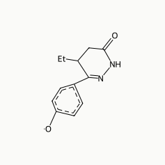 CCC1CC(=O)NN=C1c1ccc([O])cc1